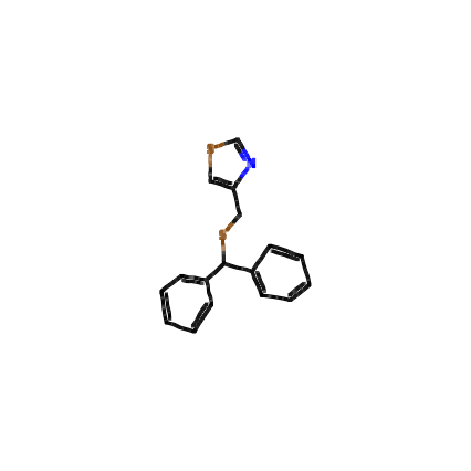 c1ccc(C(SCc2cscn2)c2ccccc2)cc1